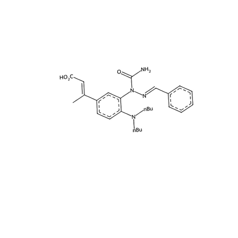 CCCCN(CCCC)c1ccc(/C(C)=C/C(=O)O)cc1N(/N=C/c1ccccc1)C(N)=O